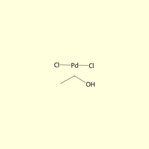 CCO.[Cl][Pd][Cl]